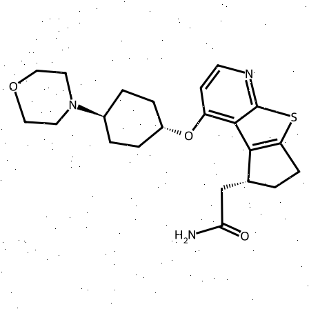 NC(=O)C[C@H]1CCc2sc3nccc(O[C@H]4CC[C@H](N5CCOCC5)CC4)c3c21